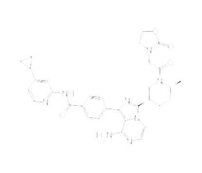 C[C@H]1CC[C@@H](c2nc(-c3ccc(C(=O)Nc4cc(C5CC5)ccn4)cc3)c3c(N)nccn23)CN1C(=O)CN1CCOC1=O